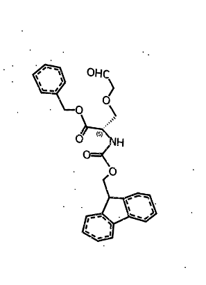 O=CCOC[C@H](NC(=O)OCC1c2ccccc2-c2ccccc21)C(=O)OCc1ccccc1